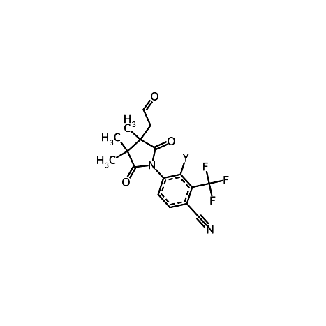 CC1(C)C(=O)N(c2ccc(C#N)c(C(F)(F)F)[c]2[Y])C(=O)C1(C)CC=O